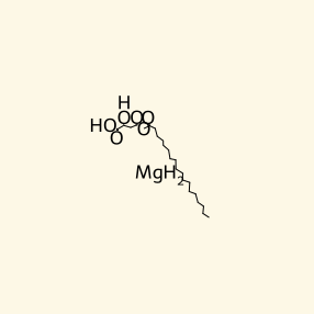 CCCCCCCCCCCCCCCCCC(=O)OC(=O)CC(O)C(=O)O.[MgH2]